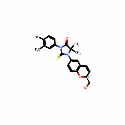 CC1(C)C(=O)N(c2ccc(C#N)c(C(F)(F)F)c2)C(=S)N1c1ccc2c(c1)C=C[C@@H](CO)O2